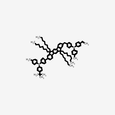 C=Cc1ccc(N(c2ccc(C)cc2)c2ccc(Cc3ccc4c(c3)C(CCCCCCCC)(CCCCCCCC)c3cc5c(cc3-4)C(CCCCCCCC)(CCCCCCCC)c3cc(-c4ccc(N(c6ccc(C)cc6)c6ccc(C(C)(C)C)cc6)cc4)ccc3-5)cc2)cc1